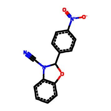 N#CN1c2ccccc2OC1c1ccc([N+](=O)[O-])cc1